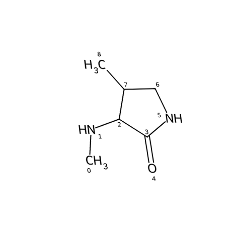 CNC1C(=O)NCC1C